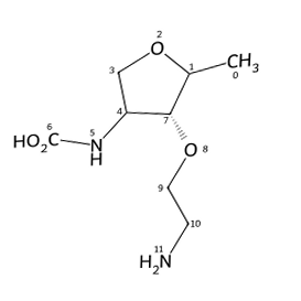 CC1OCC(NC(=O)O)[C@H]1OCCN